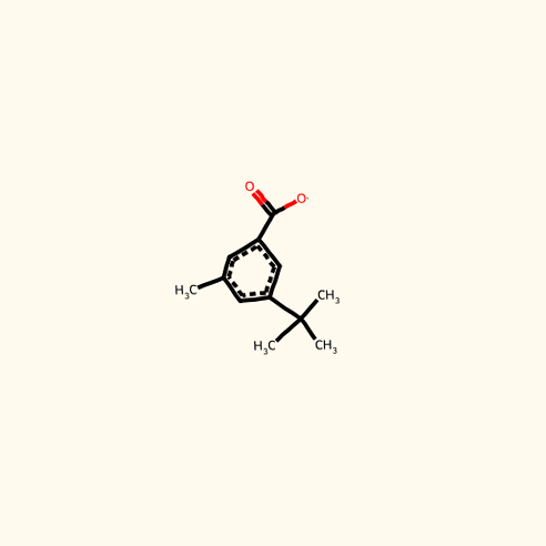 Cc1cc(C([O])=O)cc(C(C)(C)C)c1